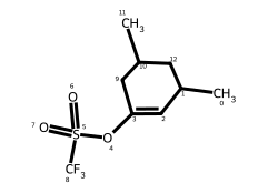 CC1C=C(OS(=O)(=O)C(F)(F)F)CC(C)C1